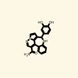 NC(=O)c1cnn2ccc3c2c1-c1ccccc1NC3c1ccc(O)c(O)c1